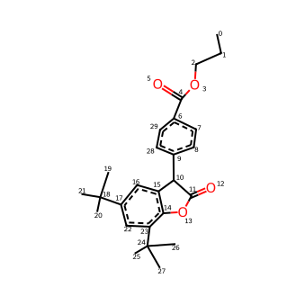 CCCOC(=O)c1ccc(C2C(=O)Oc3c2cc(C(C)(C)C)cc3C(C)(C)C)cc1